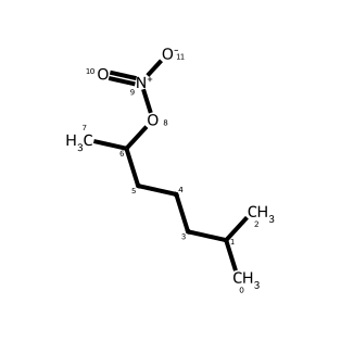 CC(C)CCCC(C)O[N+](=O)[O-]